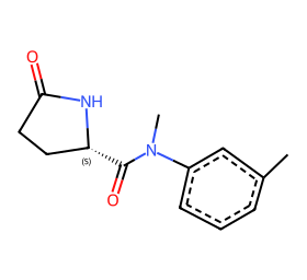 Cc1cccc(N(C)C(=O)[C@@H]2CCC(=O)N2)c1